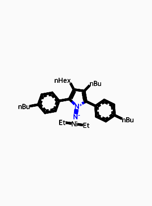 CCCCCCC1=C(c2ccc(CCCC)cc2)[N+](=[N-])C(c2ccc(CCCC)cc2)=C1CCCC.C[CH2][Ni][CH2]C